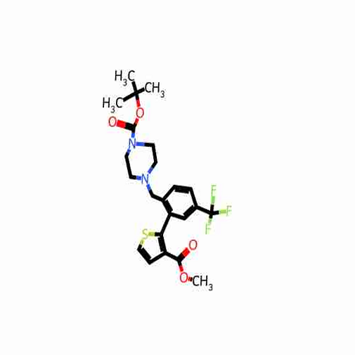 COC(=O)c1ccsc1-c1cc(C(F)(F)F)ccc1CN1CCN(C(=O)OC(C)(C)C)CC1